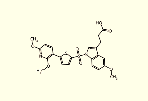 COc1ccc2c(c1)c(CCC(=O)O)cn2S(=O)(=O)c1ccc(-c2ccc(OC)nc2OC)s1